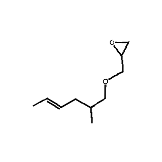 CC=CCC(C)COCC1CO1